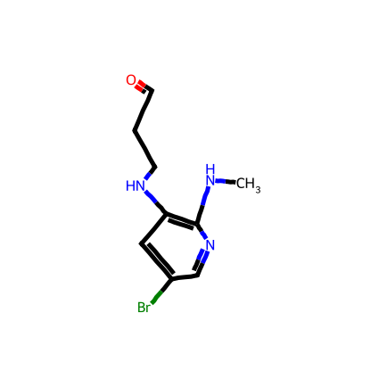 CNc1ncc(Br)cc1NCCC=O